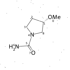 CO[C@H]1[CH]CN(C(N)=O)C1